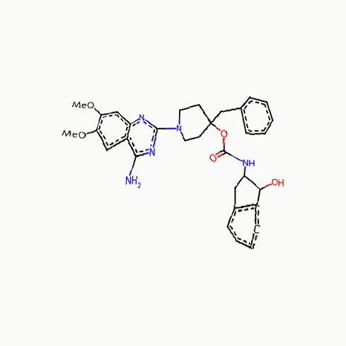 COc1cc2nc(N3CCC(Cc4ccccc4)(OC(=O)NC4Cc5ccccc5C4O)CC3)nc(N)c2cc1OC